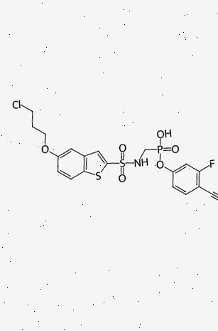 N#Cc1ccc(OP(=O)(O)CNS(=O)(=O)c2cc3cc(OCCCCl)ccc3s2)cc1F